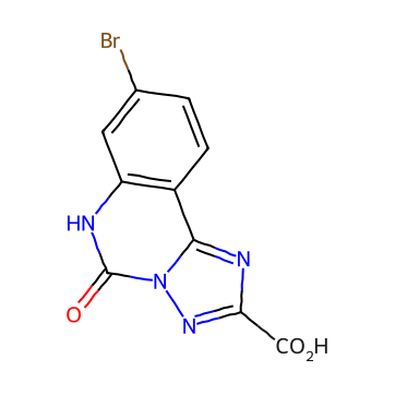 O=C(O)c1nc2c3ccc(Br)cc3[nH]c(=O)n2n1